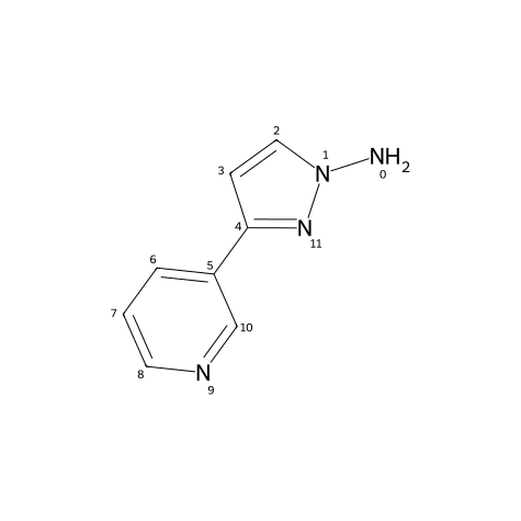 Nn1ccc(-c2cccnc2)n1